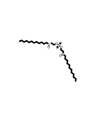 CCCCCCCCCCCC[S+]([O-])CCOS(=O)(=O)OCC[S+]([O-])CCCCCCCCCCCC